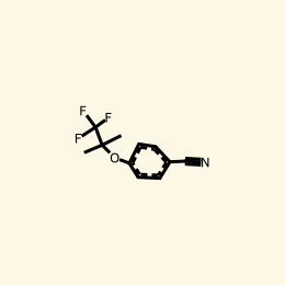 CC(C)(Oc1ccc(C#N)cc1)C(F)(F)F